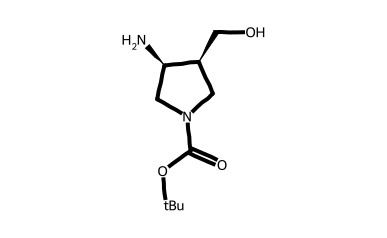 CC(C)(C)OC(=O)N1C[C@H](CO)[C@H](N)C1